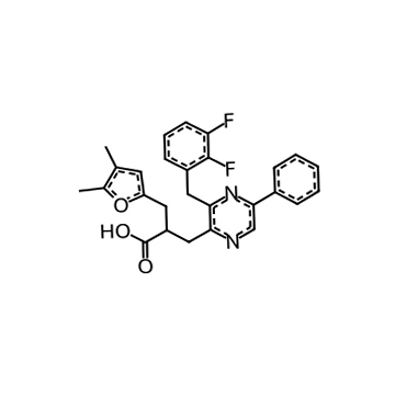 Cc1cc(CC(Cc2ncc(-c3ccccc3)nc2Cc2cccc(F)c2F)C(=O)O)oc1C